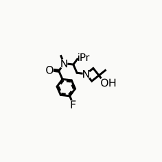 CC(C)C(CN1CC(C)(O)C1)N(C)C(=O)c1ccc(F)cc1